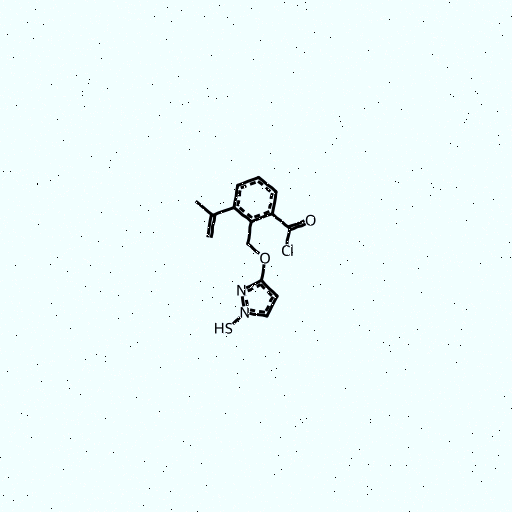 C=C(C)c1cccc(C(=O)Cl)c1COc1ccn(S)n1